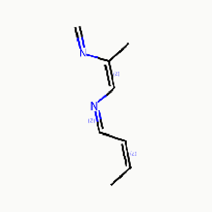 C=N\C(C)=C/N=C\C=C/C